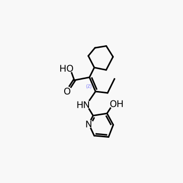 CC/C(Nc1ncccc1O)=C(/C(=O)O)C1CCCCC1